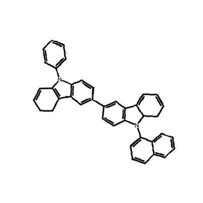 C1=CCC2C(=C1)c1cc(-c3ccc4c(c3)c3c(n4-c4ccccc4)C=CCC3)ccc1N2c1cccc2ccccc12